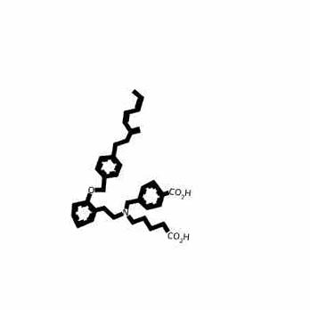 C=C(/C=C\C=C/C)CCc1ccc(COc2ccccc2CCN(CCCCC(=O)O)Cc2ccc(C(=O)O)cc2)cc1